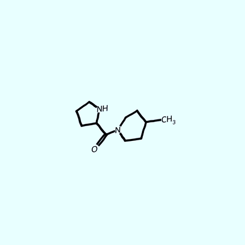 CC1CCN(C(=O)C2CCCN2)CC1